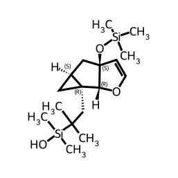 CC(C)(C[C@]12C[C@H]1C[C@]1(O[Si](C)(C)C)C=CO[C@H]21)[Si](C)(C)O